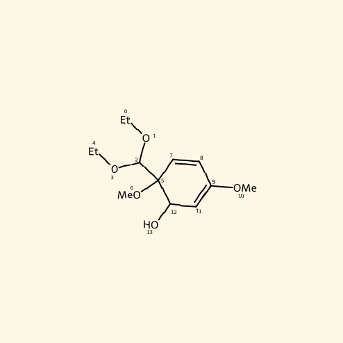 CCOC(OCC)C1(OC)C=CC(OC)=CC1O